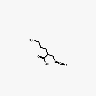 CCCCC(CN=C=O)C(=O)O